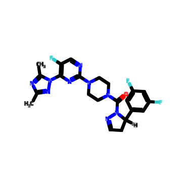 [2H]C1(c2cc(F)cc(F)c2)CC=NN1C(=O)N1CCN(c2ncc(F)c(-n3nc(C)nc3C)n2)CC1